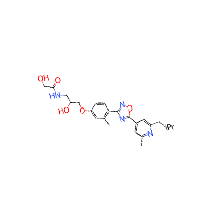 Cc1cc(-c2nc(-c3ccc(OCC(O)CNC(=O)CO)cc3C)no2)cc(CC(C)C)n1